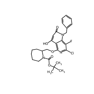 CC(C)(C)OC(=O)N1CCCCCC1COc1nc(Cl)c(F)c2c1c(O)cc(=O)n2Cc1ccccc1